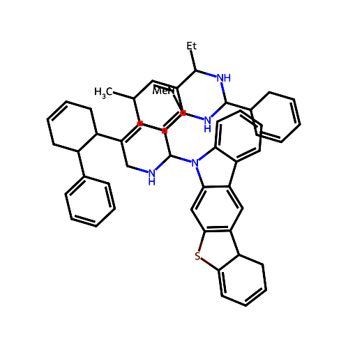 CCC(NC(NC(NC)C1C=C(C2CC=CCC2c2ccccc2)CNC1n1c2ccccc2c2cc3c(cc21)SC1=CC=CCC13)C1C=CC=CC1)C1=CC(C)CC=C1